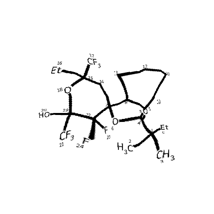 CCC(C)(C)C(=O)OC1(C2CCCCC2)CC(CC)(C(F)(F)F)OC(O)(C(F)(F)F)C1(F)F